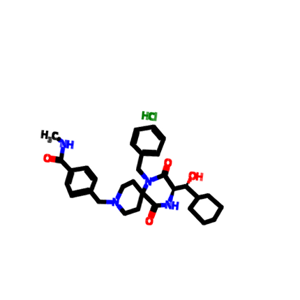 CNC(=O)c1ccc(CN2CCC3(CC2)C(=O)N[C@H]([C@H](O)C2CCCCC2)C(=O)N3Cc2ccccc2)cc1.Cl